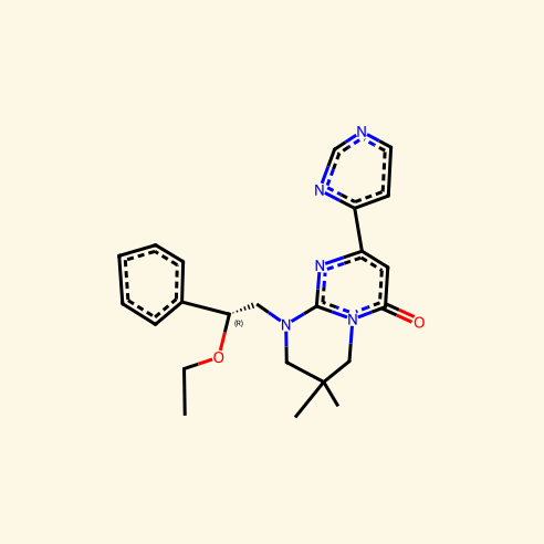 CCO[C@@H](CN1CC(C)(C)Cn2c1nc(-c1ccncn1)cc2=O)c1ccccc1